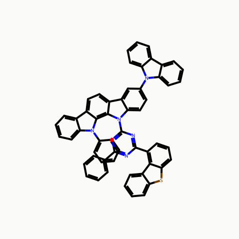 c1ccc(-c2nc(-c3cccc4sc5ccccc5c34)nc(-n3c4ccc(-n5c6ccccc6c6ccccc65)cc4c4ccc5c6ccccc6n(-c6ccccc6)c5c43)n2)cc1